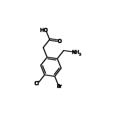 NCc1cc(Br)c(Cl)cc1CC(=O)O